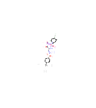 CC(C)(C)c1ccc(S(=O)(=O)NCC(NS(=O)(=O)c2ccc(F)cc2F)C(=O)NO)cc1